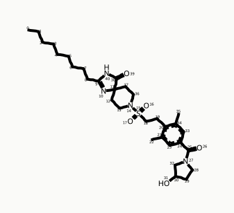 CCCCCCCCCC1=NC2(CCN(S(=O)(=O)CCc3c(C)cc(C(=O)N4CCC(O)C4)cc3C)CC2)C(=O)N1